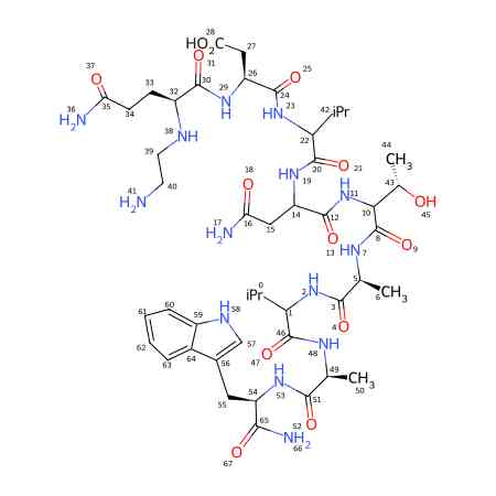 CC(C)C(NC(=O)[C@H](C)NC(=O)C(NC(=O)C(CC(N)=O)NC(=O)C(NC(=O)[C@H](CC(=O)O)NC(=O)[C@H](CCC(N)=O)NCCN)C(C)C)[C@H](C)O)C(=O)N[C@@H](C)C(=O)N[C@H](Cc1c[nH]c2ccccc12)C(N)=O